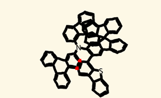 c1ccc2c(c1)-c1cccc(N(c3ccc4c5ccccc5c5ccccc5c4c3)c3cc4c(cc3-c3cccc5c3sc3ccccc35)-c3ccccc3C43c4ccccc4-c4ccccc43)c1C21CCCCC1